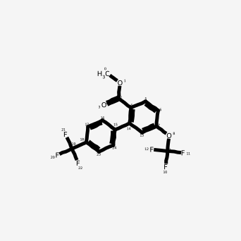 COC(=O)c1ccc(OC(F)(F)F)cc1-c1ccc(C(F)(F)F)cc1